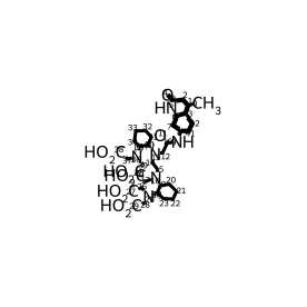 Cc1cc(=O)[nH]c2cc(NC(=O)CN(CCN(CC(=O)O)C3CCCC[C@H]3N(CC(=O)O)CC(=O)O)[C@H]3CCCC[C@@H]3N(CC(=O)O)CC(=O)O)ccc12